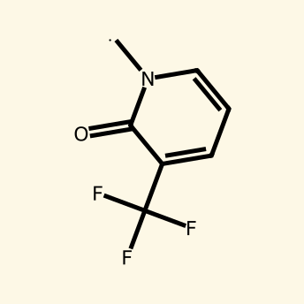 [CH2]n1cccc(C(F)(F)F)c1=O